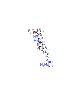 N=C(N)NCCCCN1CCC(c2c[nH]c(NC(=O)Nc3ccccc3OC(F)(F)F)nc2=O)CC1